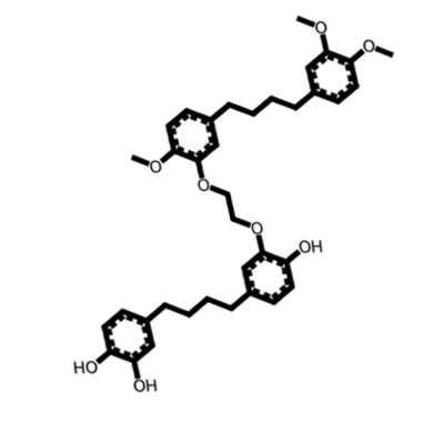 COc1ccc(CCCCc2ccc(OC)c(OCCOc3cc(CCCCc4ccc(O)c(O)c4)ccc3O)c2)cc1OC